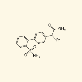 CC(C)C(C(N)=O)c1ccc(-c2ccccc2S(N)(=O)=O)cc1